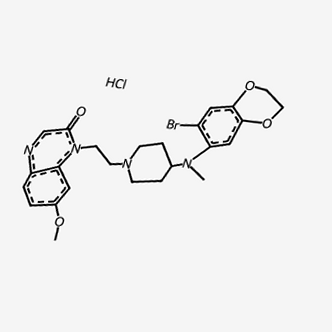 COc1ccc2ncc(=O)n(CCN3CCC(N(C)c4cc5c(cc4Br)OCCO5)CC3)c2c1.Cl